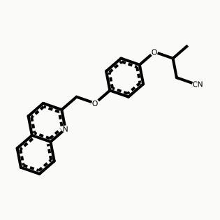 CC(CC#N)Oc1ccc(OCc2ccc3ccccc3n2)cc1